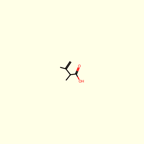 C=C(C)[C](C)C(=O)O